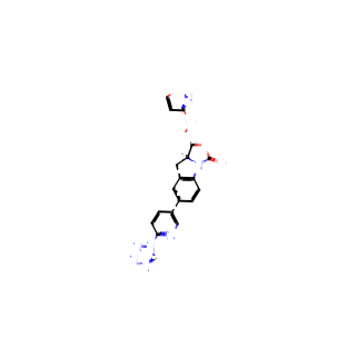 O=C1O[C@@H](COc2ccon2)[C@@H]2Cc3cc(-c4ccc(-n5cnnn5)nc4)ccc3N12